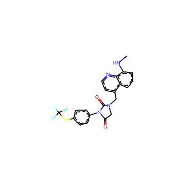 CNc1cccc2c(CN3CC(=O)N(c4ccc(SC(F)(F)F)cc4)C3=O)ccnc12